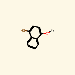 CCOc1ccc(S)c2ccccc12